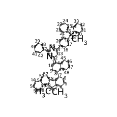 CC1(C)c2cccc(-c3ccc(-c4cc(-c5ccc6c(c5)-c5ccccc5C6(C)c5ccccc5)nc(-c5ccccc5)n4)c4ccccc34)c2-c2ccc3ccccc3c21